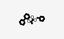 C=C(Oc1ccccc1-c1ccccc1)C(=O)OCc1ccccc1